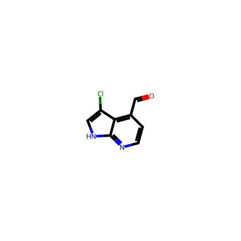 O=Cc1ccnc2[nH]cc(Cl)c12